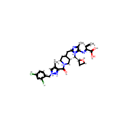 C=C/C(=N\c1c(C)nc(CC2CCN(C(=O)c3nn(Cc4ccc(Cl)cc4F)cc3C)CC2)n1C[C@@H]1CCO1)C(=O)O